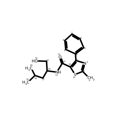 Cc1nc(-c2ccccc2)c(C(=O)NC(CO)CC(C)C)s1